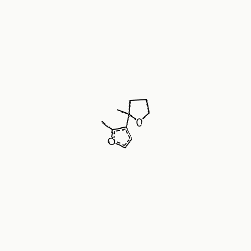 Cc1occc1C1(C)CCCO1